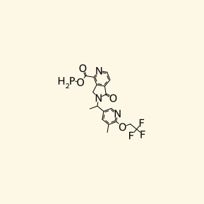 Cc1cc(C(C)N2Cc3c(ccnc3C(=O)OP)C2=O)cnc1OCC(F)(F)F